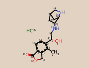 Cc1c([C@@H](O)CN[C@H]2CC3CNC2C3)ccc2c1COC2=O.Cl